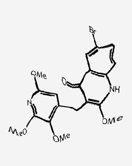 COc1cc(Cc2c(OC)[nH]c3ccc(Br)cc3c2=O)c(OC)c(OC)n1